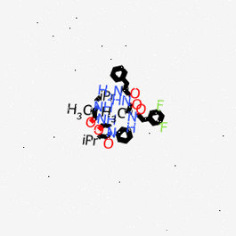 CC(C)CN[C@@H](C)C(=O)NC(=O)CN(C(=O)CC(C)C)c1ccccc1.C[C@H](NC(=O)Cc1cc(F)cc(F)c1)C(=O)NC(=O)[C@@H](N)Cc1ccccc1